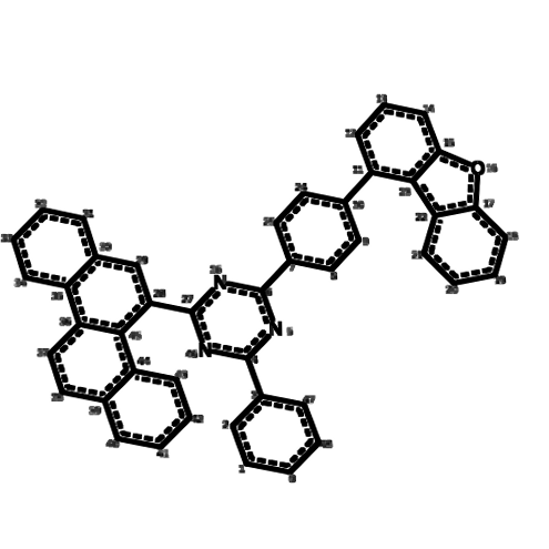 c1ccc(-c2nc(-c3ccc(-c4cccc5oc6ccccc6c45)cc3)nc(-c3cc4ccccc4c4ccc5ccccc5c34)n2)cc1